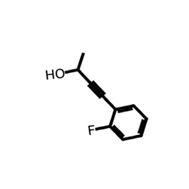 CC(O)C#Cc1ccccc1F